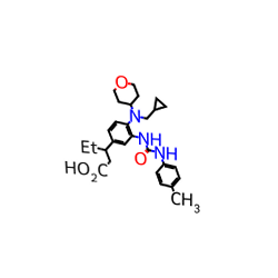 CCC(CC(=O)O)c1ccc(N(CC2CC2)C2CCOCC2)c(NC(=O)Nc2ccc(C)cc2)c1